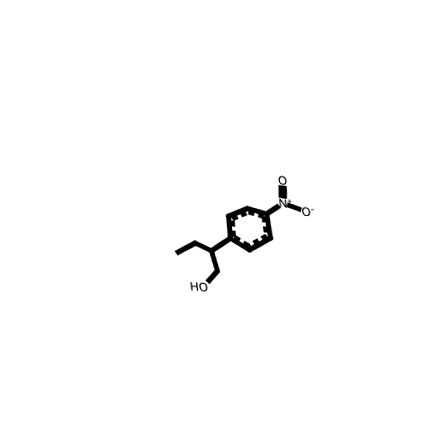 CCC(CO)c1ccc([N+](=O)[O-])cc1